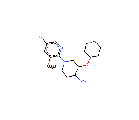 CCOC(=O)c1cc(Br)cnc1N1CCC(N)C(OC2CCCCC2)C1